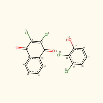 O=C1C(Cl)=C(Cl)C(=O)c2ccccc21.Oc1cccc(Cl)c1Cl